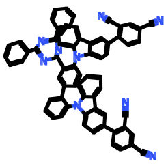 N#Cc1ccc(-c2ccc3c(c2)c2ccccc2n3-c2ccccc2-c2ccc(-n3c4ccccc4c4cc(-c5ccc(C#N)cc5C#N)ccc43)c(-c3nc(-c4ccccc4)nc(-c4ccccc4)n3)c2)c(C#N)c1